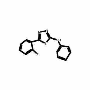 Fc1ccccc1-c1nnc(Nc2ccccc2)s1